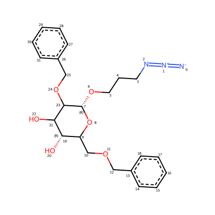 [N-]=[N+]=NCCCO[C@@H]1OC(COCc2ccccc2)[C@H](O)C(O)C1OCc1ccccc1